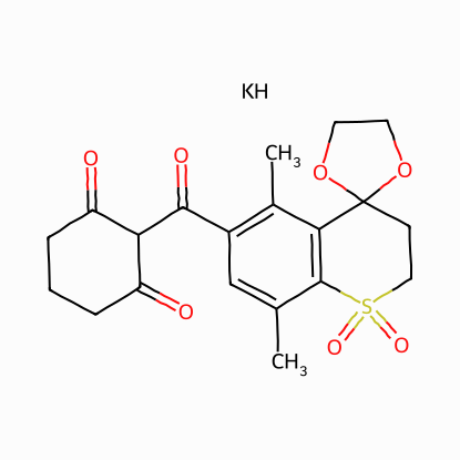 Cc1cc(C(=O)C2C(=O)CCCC2=O)c(C)c2c1S(=O)(=O)CCC21OCCO1.[KH]